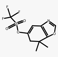 CC1(C)CC(OS(=O)(=O)C(F)(F)F)=Cc2ncoc21